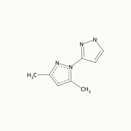 Cc1cc(C)n(C2=N[N]C=C2)n1